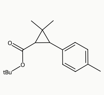 Cc1ccc(C2C(C(=O)OC(C)(C)C)C2(C)C)cc1